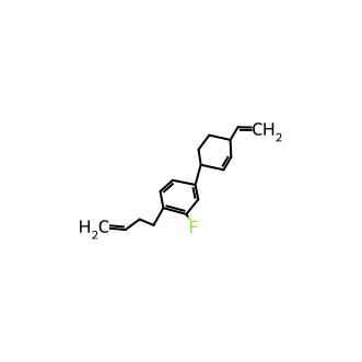 C=CCCc1ccc(C2C=CC(C=C)CC2)cc1F